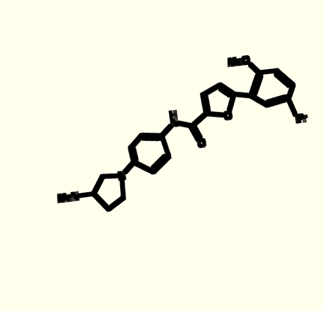 CNC1CCN(c2ccc(NC(=O)c3ccc(-c4cc(C(C)C)ccc4OC)o3)cc2)C1